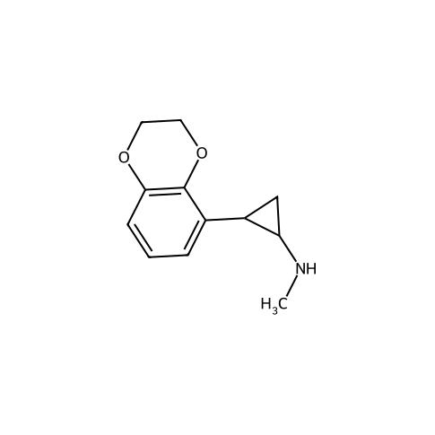 CNC1CC1c1cccc2c1OCCO2